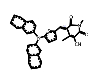 CC1=C(C#N)C(=O)N(C)C(=O)/C1=C/c1ccc(N(c2ccc3ccccc3c2)c2ccc3ccccc3c2)s1